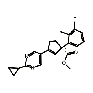 COC(=O)[C@]1(c2cccc(F)c2C)C=C(c2cnc(C3CC3)nc2)CC1